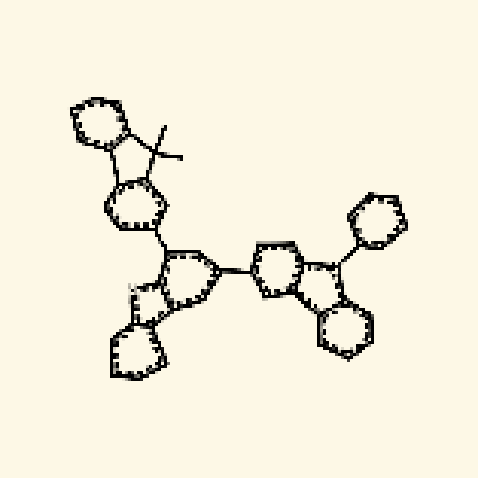 CC1(C)c2ccccc2-c2ccc(-c3cc(-c4ccc5c(c4)c4ccccc4n5-c4ccccc4)cc4c3[nH]c3ccccc34)cc21